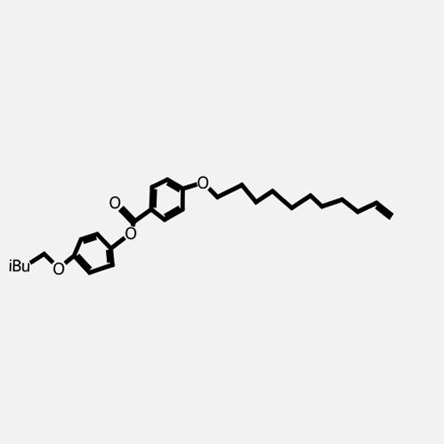 C=CCCCCCCCCCOc1ccc(C(=O)Oc2ccc(OCC(C)CC)cc2)cc1